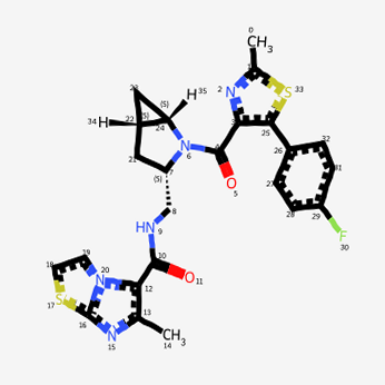 Cc1nc(C(=O)N2[C@H](CNC(=O)c3c(C)nc4sccn34)C[C@@H]3C[C@@H]32)c(-c2ccc(F)cc2)s1